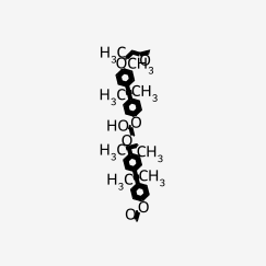 CCC(C)(OCC(O)Oc1ccc(C(C)(C)c2ccc(OC(C)(C)CC3CO3)cc2)cc1)c1ccc(C(C)(C)c2ccc(OC3CO3)cc2)cc1